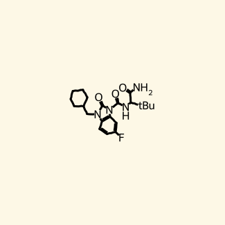 CC(C)(C)C(NC(=O)n1c(=O)n(CC2CCCCC2)c2ccc(F)cc21)C(N)=O